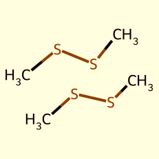 CSSC.CSSC